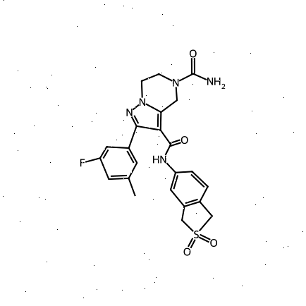 Cc1cc(F)cc(-c2nn3c(c2C(=O)Nc2ccc4c(c2)CS(=O)(=O)C4)CN(C(N)=O)CC3)c1